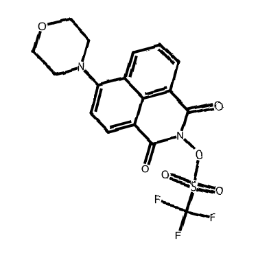 O=C1c2cccc3c(N4CCOCC4)ccc(c23)C(=O)N1OS(=O)(=O)C(F)(F)F